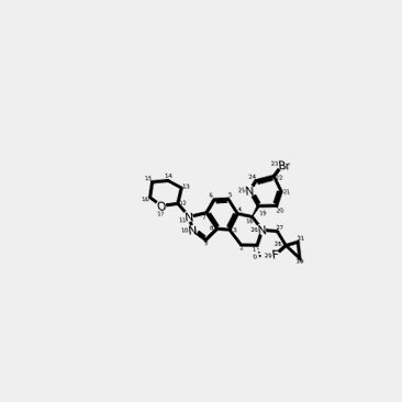 C[C@@H]1Cc2c(ccc3c2cnn3C2CCCCO2)[C@@H](c2ccc(Br)cn2)N1CC1(F)CC1